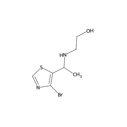 CC(NCCO)c1scnc1Br